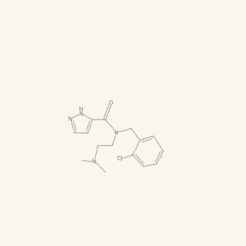 CN(C)CCN(Cc1ccccc1Cl)C(=O)c1ccn[nH]1